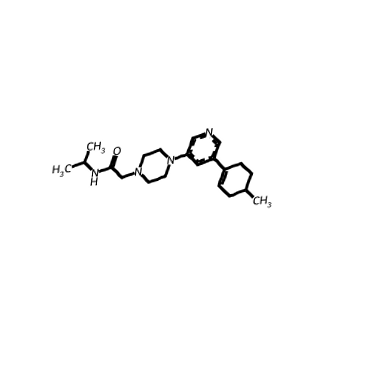 CC1CC=C(c2cncc(N3CCN(CC(=O)NC(C)C)CC3)c2)CC1